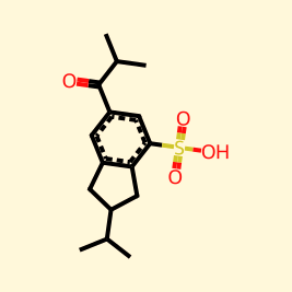 CC(C)C(=O)c1cc2c(c(S(=O)(=O)O)c1)CC(C(C)C)C2